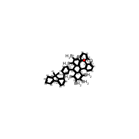 Bc1c(B)c(B)c2c(-c3cccc4oc5ccccc5c34)c3c(B)c(B)c(B)c(B)c3c(-c3cccc(-c4cccc5c4C(C)(C)c4ccccc4-5)c3)c2c1B